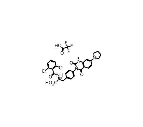 Cn1c(=O)n(-c2ccc(C[C@H](NC(=O)c3c(Cl)cccc3Cl)C(=O)O)cc2)c(=O)c2ccc(N3CCCC3)cc21.O=C(O)C(F)(F)F